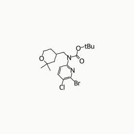 CC(C)(C)OC(=O)N(CC1CCOC(C)(C)C1)c1ccc(Cl)c(Br)n1